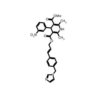 COC(=O)C1=C(C)NC(C)=C(C(=O)OCC=Cc2ccc(Cn3ccnc3)cc2)C1c1cccc([N+](=O)[O-])c1